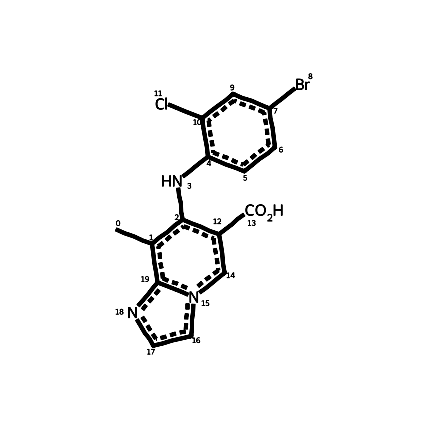 Cc1c(Nc2ccc(Br)cc2Cl)c(C(=O)O)cn2ccnc12